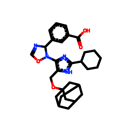 O=C(O)c1cccc(C2N=CON2c2nc(C3CCCCC3)[nH]c2COC23CC4CC(CC(C4)C2)C3)c1